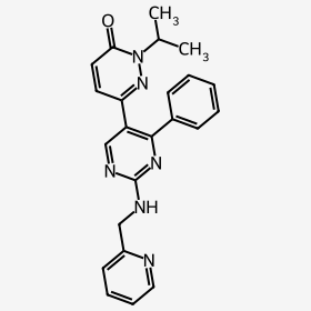 CC(C)n1nc(-c2cnc(NCc3ccccn3)nc2-c2ccccc2)ccc1=O